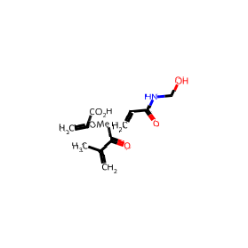 C=C(C)C(=O)OC.C=CC(=O)NCO.C=CC(=O)O